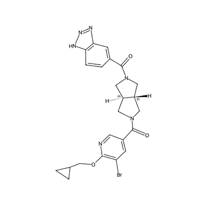 O=C(c1cnc(OCC2CC2)c(Br)c1)N1C[C@H]2CN(C(=O)c3ccc4[nH]nnc4c3)C[C@@H]2C1